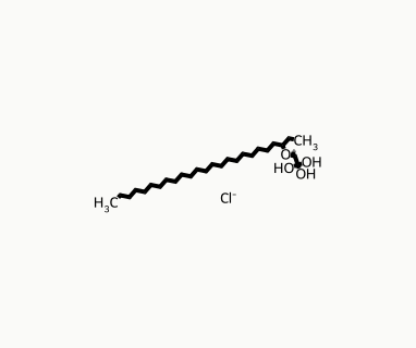 CCCCCCCCCCCCCCCCCCCCCCC(CC)[O+]=CC(O)(O)O.[Cl-]